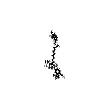 C[C@](O)(CCCCCCCC[S+]([O-])CCC(F)(F)C(F)(F)C(F)(F)F)C(=O)Nc1ccc(C#N)c(C(F)(F)F)c1